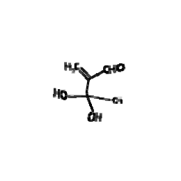 C=C(C=O)C(O)(O)O